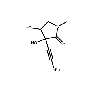 CN1CC(O)C(O)(C#CC(C)(C)C)C1=O